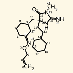 C=CCON=C1CCC[C@@H](C[C@@]2(CCC3CCCCC3)NC(=N)N(C)C2=O)C1